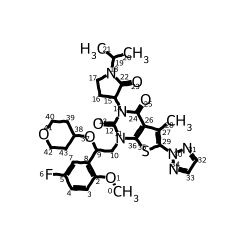 COc1ccc(F)cc1C(Cn1c(=O)n(C2CCN(C(C)C)C2=O)c(=O)c2c(C)c(-n3nccn3)sc21)OC1CCOCC1